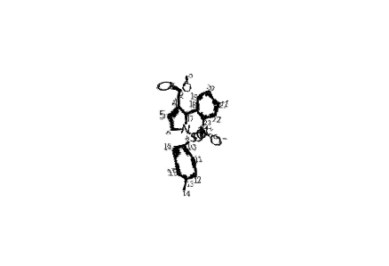 COC(=O)C1=CCN([S+]([O-])c2ccc(C)cc2)C1c1ccccc1[N+](=O)[O-]